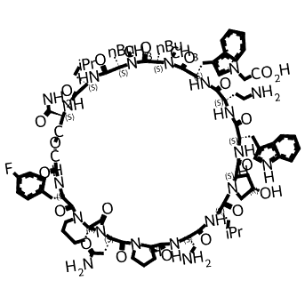 CCCC[C@H]1C(=O)N(C)[C@@H](CCCC)C(=O)N[C@@H](CC(C)C)C(=O)N[C@H](C(N)=O)COCC(=O)N[C@@H](Cc2ccc(F)cc2)C(=O)N2CCCC[C@@]23C(=O)N3[C@@H](CC(N)=O)C(=O)N2CCC[C@H]2C(=O)N[C@@H](CN)C(=O)N[C@@H](CC(C)C)C(=O)N2C[C@H](O)C[C@H]2C(=O)N[C@@H](Cc2c[nH]c3ccccc23)C(=O)N[C@@H](CCN)C(=O)N[C@@H](Cc2cn(CC(=O)O)c3ccccc23)C(=O)N1C